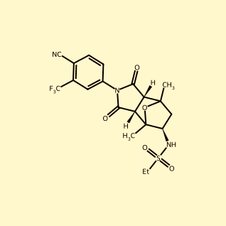 CCS(=O)(=O)N[C@@H]1CC2(C)OC1(C)[C@@H]1C(=O)N(c3ccc(C#N)c(C(F)(F)F)c3)C(=O)[C@@H]12